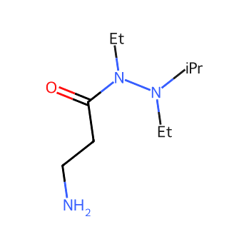 CCN(C(=O)CCN)N(CC)C(C)C